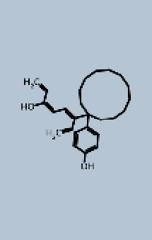 C=C/C(O)=C\C=C(/C=C)C1(c2ccc(O)cc2)CCCCCCCCCCC1